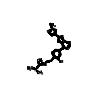 C/C(=N\CCc1ccc(-c2ncnn3cc(-c4cnn(C)c4)cc23)cc1S)N(C)C